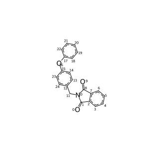 O=C1c2ccccc2C(=O)N1Cc1ccc(Oc2ccccc2)cc1